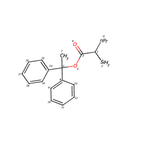 CCCC([SiH3])C(=O)OC(C)(c1ccccc1)c1ccccc1